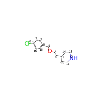 Clc1ccc(COCCC2CCNCC2)cc1